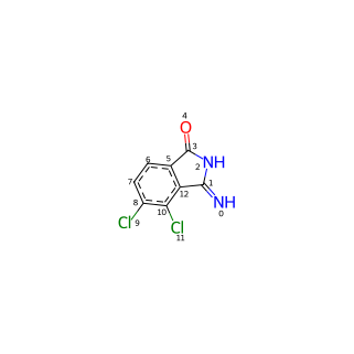 N=C1NC(=O)c2ccc(Cl)c(Cl)c21